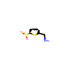 NCc1ccc([SH](=O)=O)s1